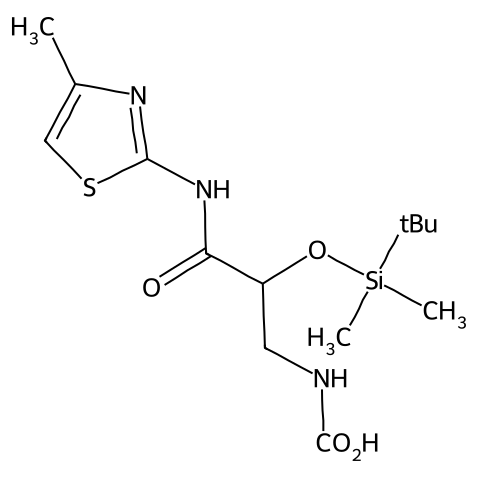 Cc1csc(NC(=O)C(CNC(=O)O)O[Si](C)(C)C(C)(C)C)n1